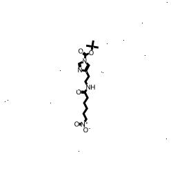 CC(C)(C)OC(=O)n1cnc(CCNC(=O)CCCCC[N+](=O)[O-])c1